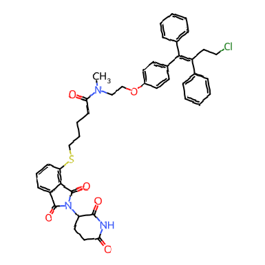 CN(CCOc1ccc(/C(=C(/CCCl)c2ccccc2)c2ccccc2)cc1)C(=O)CCCCSc1cccc2c1C(=O)N(C1CCC(=O)NC1=O)C2=O